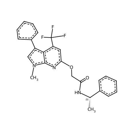 C[C@H](NC(=O)COc1cc(C(F)(F)F)c2c(-c3ccccc3)cn(C)c2n1)c1ccccc1